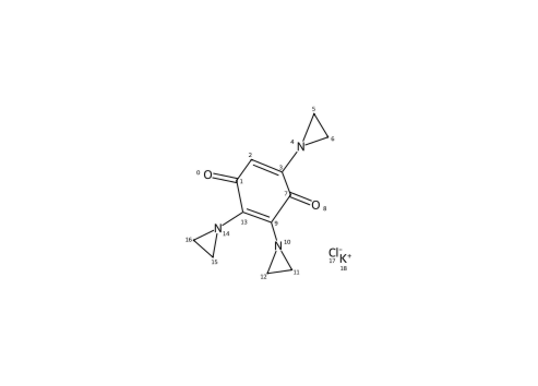 O=C1C=C(N2CC2)C(=O)C(N2CC2)=C1N1CC1.[Cl-].[K+]